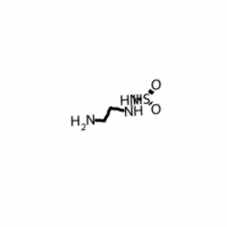 NCCNN[SH](=O)=O